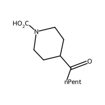 CCCCCC(=O)C1CCN(C(=O)O)CC1